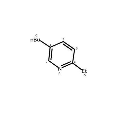 CCCCc1ccc(CC)nc1